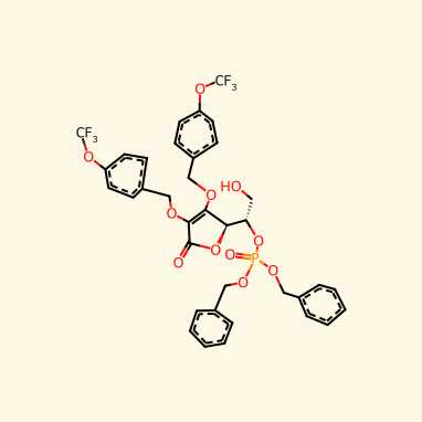 O=C1O[C@H]([C@H](CO)OP(=O)(OCc2ccccc2)OCc2ccccc2)C(OCc2ccc(OC(F)(F)F)cc2)=C1OCc1ccc(OC(F)(F)F)cc1